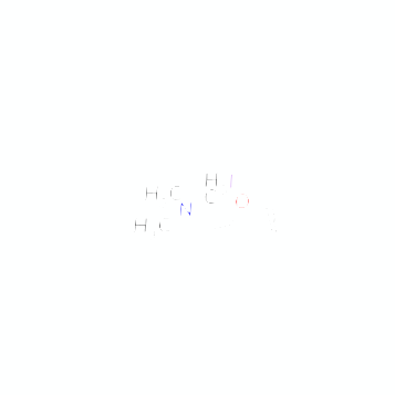 C[N+](C)(C)Cc1ccco1.[I-]